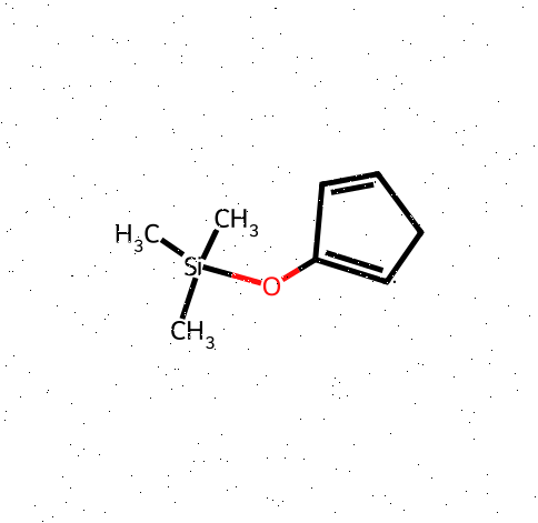 C[Si](C)(C)OC1=[C]CC=C1